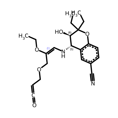 CCO/C(=C/N[C@H]1c2cc(C#N)ccc2OC(CC)(CC)[C@@H]1O)COCC=C=O